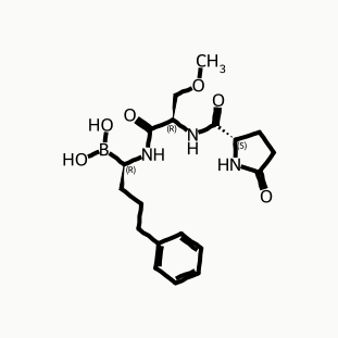 COC[C@@H](NC(=O)[C@@H]1CCC(=O)N1)C(=O)N[C@@H](CCCc1ccccc1)B(O)O